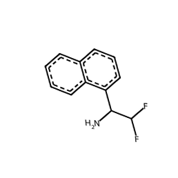 NC(c1cccc2ccccc12)C(F)F